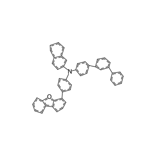 c1ccc(-c2cccc(-c3ccc(N(c4ccc(-c5cccc6c5oc5ccccc56)cc4)c4ccc5ccccc5c4)cc3)c2)cc1